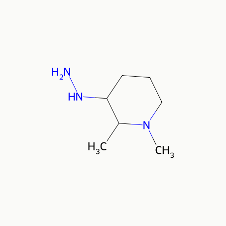 CC1C(NN)CCCN1C